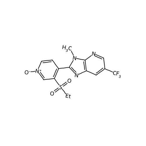 CCS(=O)(=O)c1c[n+]([O-])ccc1-c1nc2cc(C(F)(F)F)cnc2n1C